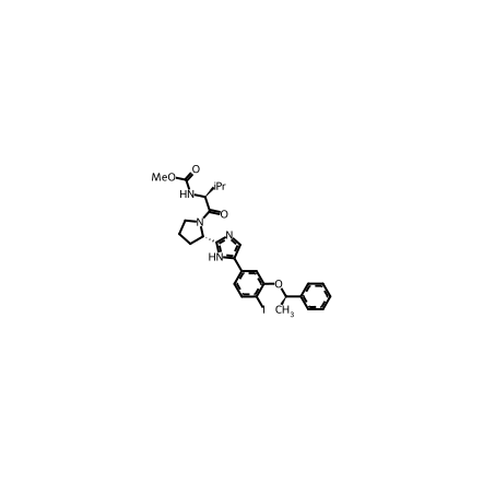 COC(=O)N[C@H](C(=O)N1CCC[C@H]1c1ncc(-c2ccc(I)c(O[C@H](C)c3ccccc3)c2)[nH]1)C(C)C